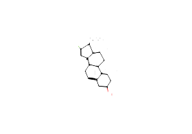 CNC1C(F)C[C@H]2[C@@H]3CC=C4CC(O)CC[C@]4(C)[C@@H]3CC[C@]12C